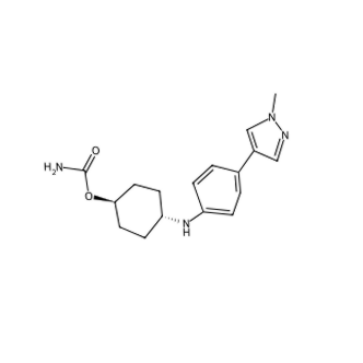 Cn1cc(-c2ccc(N[C@H]3CC[C@H](OC(N)=O)CC3)cc2)cn1